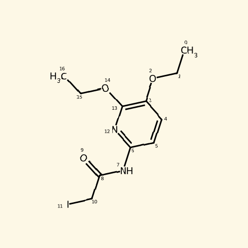 CCOc1ccc(NC(=O)CI)nc1OCC